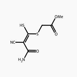 COC(=O)CSC(S)=C(C#N)C(N)=O